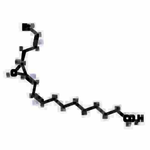 CC/C=C\C[C@@H]1O/C1=C\C=C/CCCCCCCC(=O)O